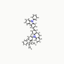 CC1(C)c2ccccc2-c2ccc(N3c4ccccc4C=Cc4cc(-c5ccc6c(c5)c5ccccc5n6-c5ccccc5)ccc43)cc21